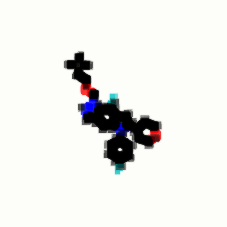 C[Si](C)(C)CCOCn1ncc2cc3c(cc(C4CCOCC4)n3-c3ccc(F)cc3)c(F)c21